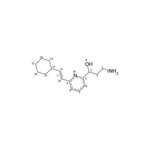 NCCC(O)c1cccc(/C=C/C2CCCCC2)n1